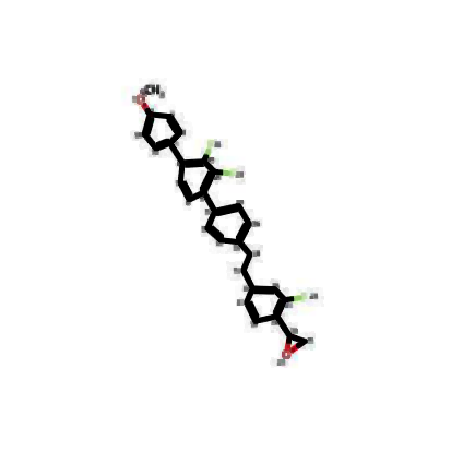 COc1ccc(-c2ccc(-c3ccc(CCc4ccc(C5CO5)c(F)c4)cc3)c(F)c2F)cc1